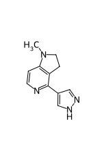 CN1CCc2c1ccnc2-c1cn[nH]c1